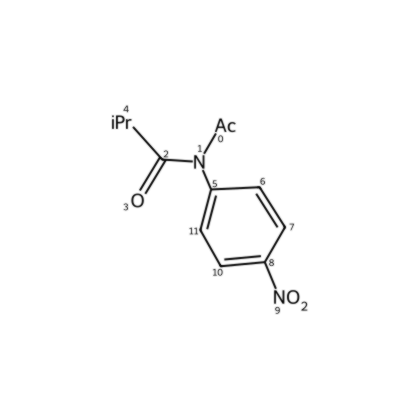 CC(=O)N(C(=O)C(C)C)c1ccc([N+](=O)[O-])cc1